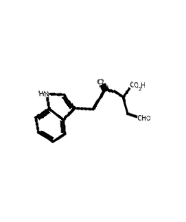 O=CCC(C(=O)O)C(=O)Cc1c[nH]c2ccccc12